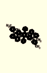 Cc1ccc(N(c2ccccc2)c2ccc3c4c(-c5ccccc5)c5c(c(-c6ccccc6)c4n4c6ccccc6c2c34)c2ccc(N(c3ccccc3)c3ccc(C)cc3C)c3c4ccccc4n5c23)c(C)c1